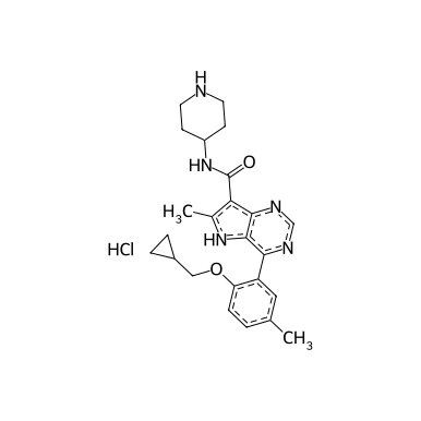 Cc1ccc(OCC2CC2)c(-c2ncnc3c(C(=O)NC4CCNCC4)c(C)[nH]c23)c1.Cl